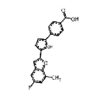 Cc1cc(F)cc2cc(-c3ccc(-c4ccc(C(=O)O)cc4)[nH]3)oc12